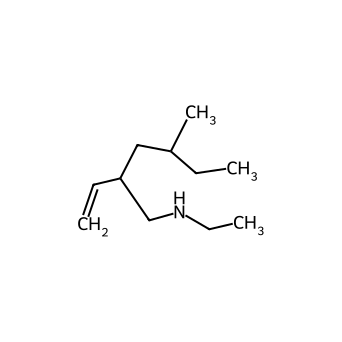 C=CC(CNCC)CC(C)CC